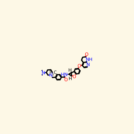 CN(C)C1CCCN(Cc2ccc(C(=O)N[C@@H]3[C@H]4Oc5ccc(Oc6ccnc7c6CCC(=O)N7)cc5[C@@H]34)cc2C(F)(F)F)C1